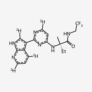 [2H]c1cc(N[C@](C)(CC)C(=O)NCC(F)(F)F)nc(-c2c([2H])[nH]c3nc([2H])cc([2H])c23)n1